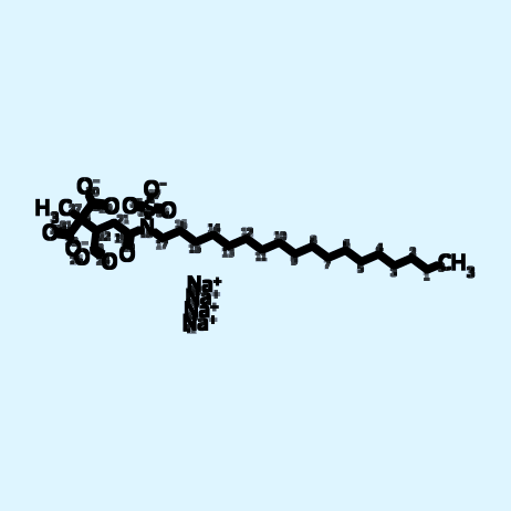 CCCCCCCCCCCCCCCCCCN(C(=O)CC(C(=O)[O-])C(C)(C(=O)[O-])C(=O)[O-])S(=O)(=O)[O-].[Na+].[Na+].[Na+].[Na+]